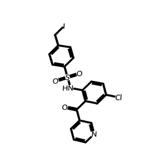 O=C(c1cccnc1)c1cc(Cl)ccc1NS(=O)(=O)c1ccc(CI)cc1